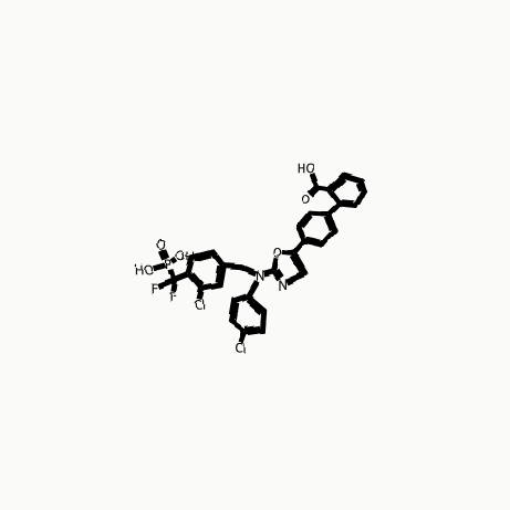 O=C(O)c1ccccc1-c1ccc(-c2cnc(N(Cc3ccc(C(F)(F)P(=O)(O)O)c(Cl)c3)c3ccc(Cl)cc3)o2)cc1